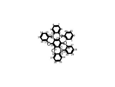 c1ccc(N2c3ccccc3B3c4ccccc4Oc4c5c6c(c2c43)Oc2ccccc2B6c2ccccc2O5)cc1